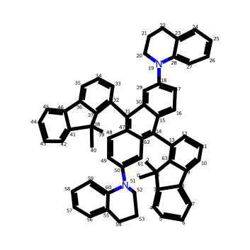 CC1(C)c2ccccc2-c2cccc(-c3c4ccc(N5CCCc6ccccc65)cc4c(-c4cccc5c4C(C)(C)c4ccccc4-5)c4ccc(N5CCCc6ccccc65)cc34)c21